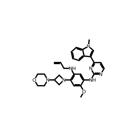 C=CCNc1cc(Nc2nccc(-c3cn(C)c4ccccc34)n2)c(OC)cc1N1CC(N2CCOCC2)C1